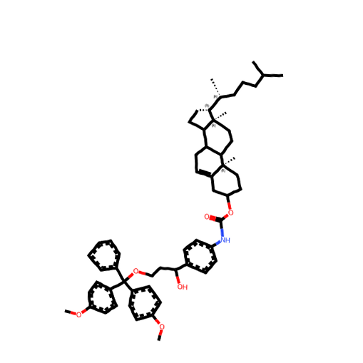 COc1ccc(C(OCCC(O)c2ccc(NC(=O)OC3CC[C@@]4(C)C(=CCC5C4CC[C@@]4(C)C5CC[C@@H]4[C@H](C)CCCC(C)C)C3)cc2)(c2ccccc2)c2ccc(OC)cc2)cc1